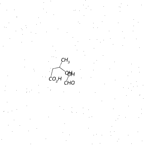 CC(O)CC(=O)O.O=CO